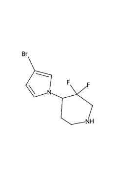 FC1(F)CNCCC1n1ccc(Br)c1